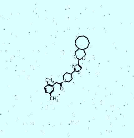 Cc1ccc(C)c(CC(=O)N2CCC(c3nc(C4OCC5CCCCCCCC5CO4)cs3)CC2)c1